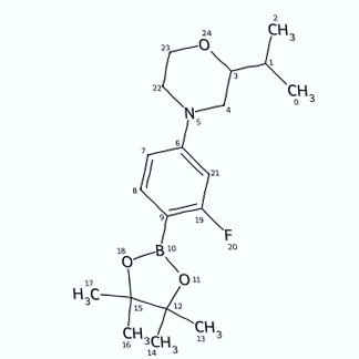 CC(C)C1CN(c2ccc(B3OC(C)(C)C(C)(C)O3)c(F)c2)CCO1